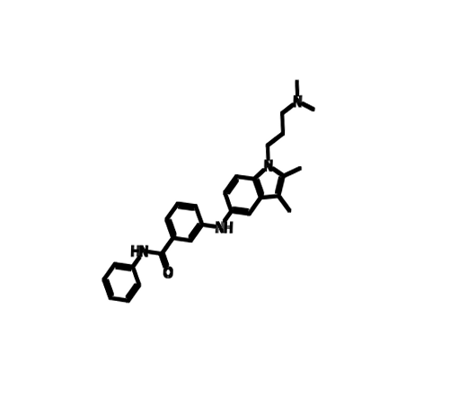 Cc1c(C)n(CCCN(C)C)c2ccc(Nc3cccc(C(=O)Nc4ccccc4)c3)cc12